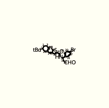 CC(C)(C)[C@H]1CCc2nc3sc(C(=O)N[C@H](CC=O)c4ccc(Br)cc4)cc3cc2C1